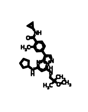 COC(C)(C)CNc1cc(NC2CCCC2)nc2c(-c3ccc(C(=O)NC4CC4)c(C)c3)cnn12